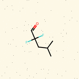 CC(C)CC(F)(F)C=O